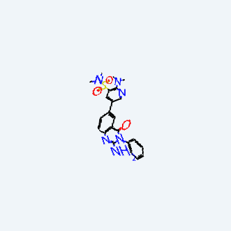 CN(C)c1ncc(-c2ccc3nc(N)n(-c4ccccc4)c(=O)c3c2)cc1S(=O)(=O)N(C)C